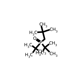 CC(C)(C)CP(=O)(C(C)(C)C)C(C)(C)C